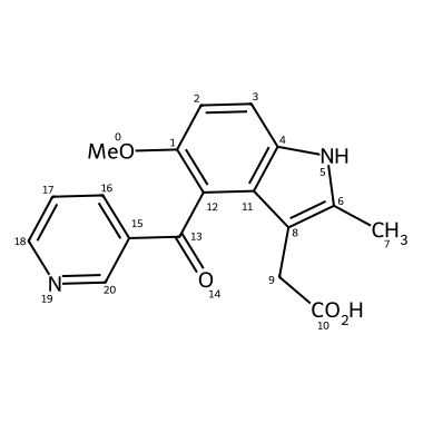 COc1ccc2[nH]c(C)c(CC(=O)O)c2c1C(=O)c1cccnc1